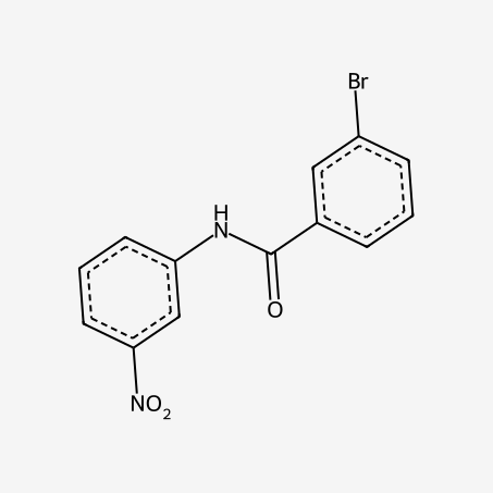 O=C(Nc1cccc([N+](=O)[O-])c1)c1cccc(Br)c1